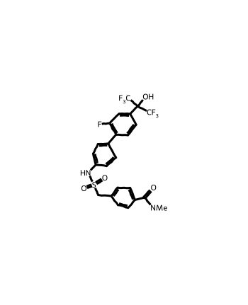 CNC(=O)c1ccc(CS(=O)(=O)Nc2ccc(-c3ccc(C(O)(C(F)(F)F)C(F)(F)F)cc3F)cc2)cc1